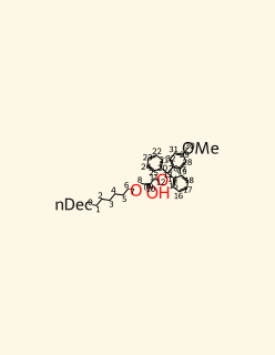 CCCCCCCCCCCCCCCCOC[C@@H](O)COC(c1ccccc1)(c1ccccc1)c1ccc(OC)cc1